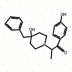 CC(C(=O)c1ccc(O)cc1)N1CCC(O)(Cc2ccccc2)CC1